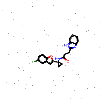 O=C(CCc1nc2ccccc2[nH]1)NC1(c2cc3cc(F)ccc3o2)CC1